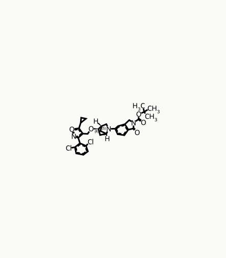 CC(C)(C)OC(=O)N1Cc2cc(N3C[C@@H]4C[C@H]3C[C@H]4OCc3c(-c4c(Cl)cccc4Cl)noc3C3CC3)ccc2C1=O